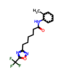 Cc1ccccc1NC(=O)CCCCCc1noc(C(F)(F)F)n1